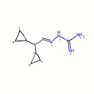 N=C(N)N/N=C/C(C1CC1)C1CC1